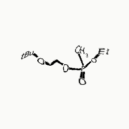 CCOP(C)(=O)OCOC(C)(C)C